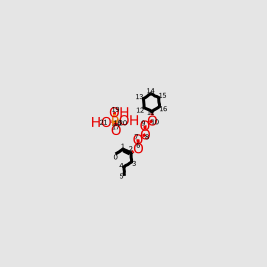 CC=C(CCC)OOOOOC1CCCCC1.O=P(O)(O)O